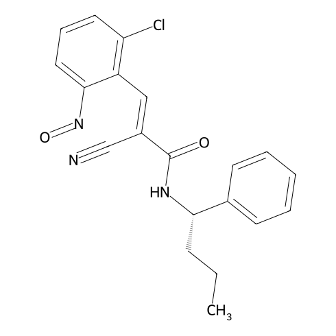 CCC[C@H](NC(=O)/C(C#N)=C/c1c(Cl)cccc1N=O)c1ccccc1